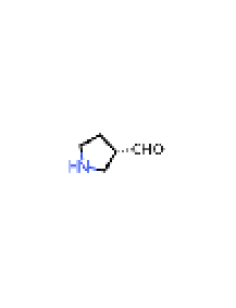 O=[C][C@H]1CCNC1